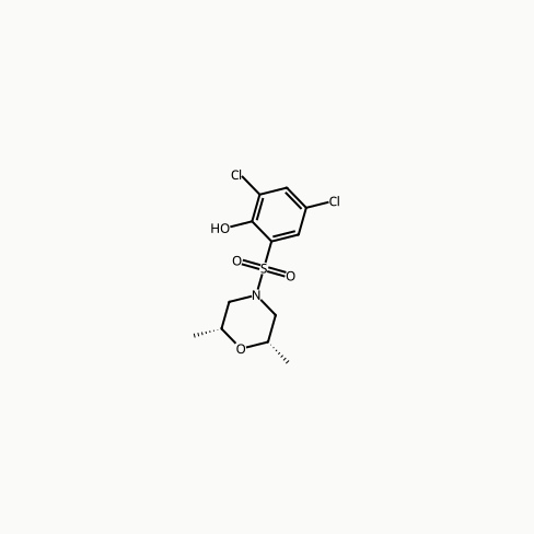 C[C@@H]1CN(S(=O)(=O)c2cc(Cl)cc(Cl)c2O)C[C@H](C)O1